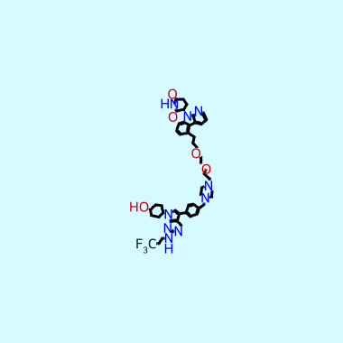 O=C1CC[C@H](n2c3cccc(CCCOCCOCCN4CCN(Cc5ccc(-c6cn([C@H]7CC[C@H](O)CC7)c7nc(NCCC(F)(F)F)ncc67)cc5)CC4)c3c3cccnc32)C(=O)N1